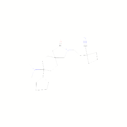 CN(C)C1(C2CCCC2)CCC2(CC1)CC(=O)N(CCC1(C#N)CCC1)C2